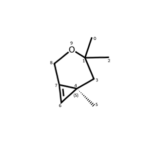 CC1(C)C[C@@]2(C)C=C2CO1